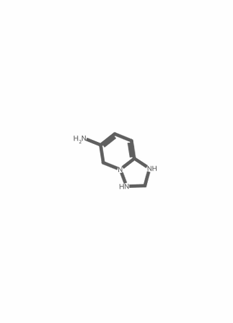 NC1=CC=C2NCNN2C1